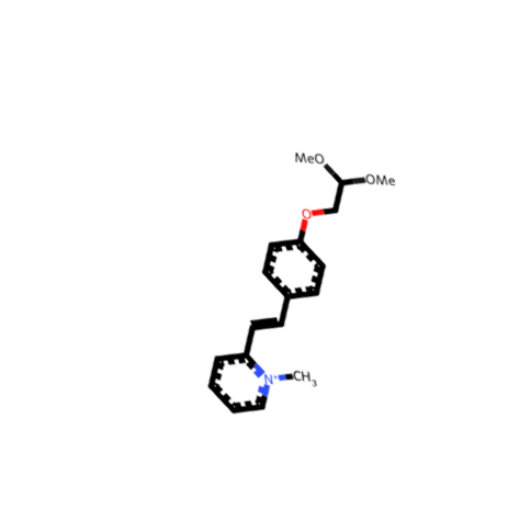 COC(COc1ccc(/C=C/c2cccc[n+]2C)cc1)OC